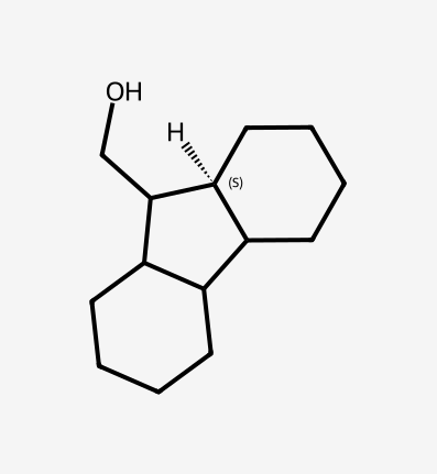 OCC1C2CCCCC2C2CCCC[C@H]12